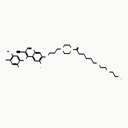 COCCOCCOCCCCCC(=O)N1CCN(CCCOc2cc3ncc(C#N)c(Nc4cc(OC)c(Cl)cc4Cl)c3cc2OC)CC1